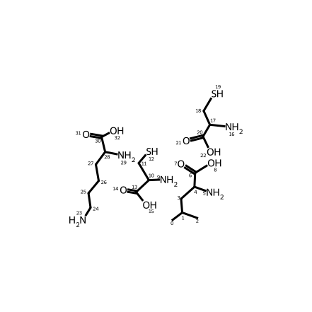 CC(C)CC(N)C(=O)O.NC(CS)C(=O)O.NC(CS)C(=O)O.NCCCCC(N)C(=O)O